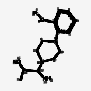 CC(C)Oc1ccccc1N1CCN(C(N)C(C)O)CC1